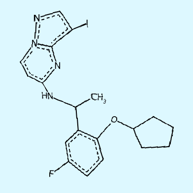 CC(Nc1ccn2ncc(I)c2n1)c1cc(F)ccc1OC1CCCC1